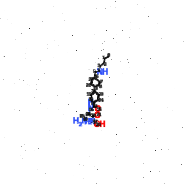 CCCCNCc1ccc(-c2ccc(C(=O)N[C@@H](CN)C(=O)NO)cc2)cc1